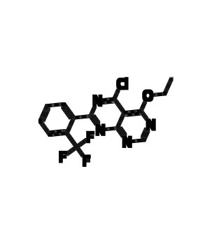 CCOc1ncnc2nc(-c3ccccc3C(F)(F)F)nc(Cl)c12